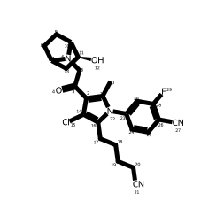 Cc1c(C(=O)CN2C3CCC2[C@@H](O)C3)c(Cl)c(CCCCC#N)n1-c1ccc(C#N)c(F)c1